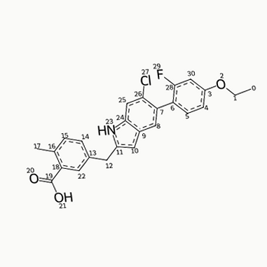 CCOc1ccc(-c2cc3cc(Cc4ccc(C)c(C(=O)O)c4)[nH]c3cc2Cl)c(F)c1